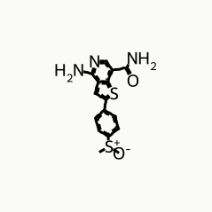 C[S+]([O-])c1ccc(-c2cc3c(N)ncc(C(N)=O)c3s2)cc1